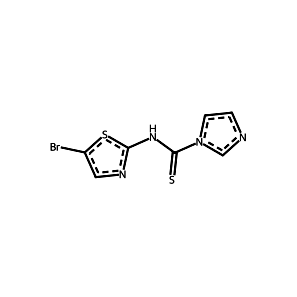 S=C(Nc1ncc(Br)s1)n1ccnc1